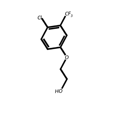 OCCOc1ccc(Cl)c(C(F)(F)F)c1